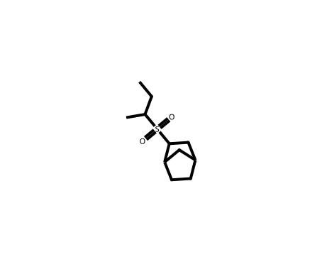 CCC(C)S(=O)(=O)C1CC2CCC1C2